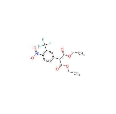 CCOC(=O)C(C(=O)OCC)c1ccc([N+](=O)[O-])c(C(F)(F)F)c1